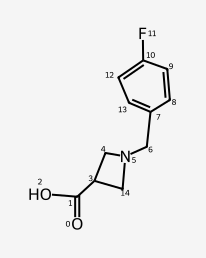 O=C(O)C1CN(Cc2ccc(F)cc2)C1